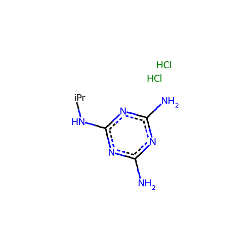 CC(C)Nc1nc(N)nc(N)n1.Cl.Cl